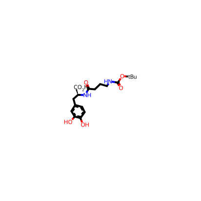 CC(C)(C)OC(=O)NCCCC(=O)N[C@@H](Cc1ccc(O)c(O)c1)C(=O)O